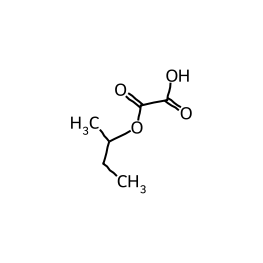 CCC(C)OC(=O)C(=O)O